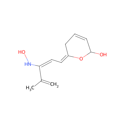 C=C(C)/C(=C\C=C1/CC=CC(O)O1)NO